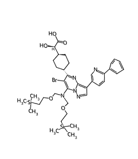 C[Si](C)(C)CCOCN(COCC[Si](C)(C)C)c1c(Br)c([C@H]2CC[C@H]([C@@H](O)C(=O)O)CC2)nc2c(-c3ccc(-c4ccccc4)nc3)cnn12